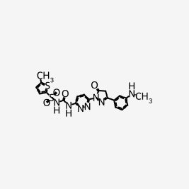 CNc1cccc(C2=NN(c3ccc(NC(=O)NS(=O)(=O)c4ccc(C)s4)nn3)C(=O)C2)c1